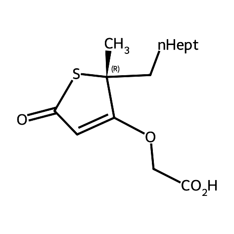 CCCCCCCC[C@@]1(C)SC(=O)C=C1OCC(=O)O